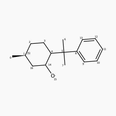 C[C@H]1CCC(C(C)(C)c2ccccc2)C([O])C1